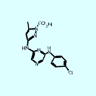 Cc1cc(Nc2cncc(Nc3ccc(Cl)cc3)n2)nn1C(=O)O